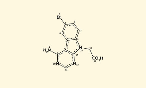 CCc1ccc2c(c1)c1c(N)ncnc1n2CC(=O)O